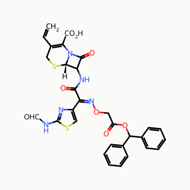 C=CC1=C(C(=O)O)N2C(=O)C(NC(=O)C(=NOCC(=O)OC(c3ccccc3)c3ccccc3)c3csc(NC=O)n3)[C@@H]2SC1